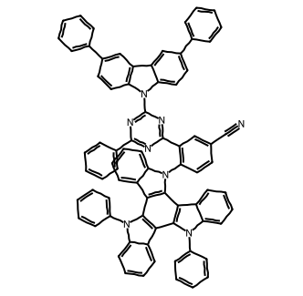 N#Cc1ccc(-n2c3ccccc3c3c4c(c5ccccc5n4-c4ccccc4)c4c(c5ccccc5n4-c4ccccc4)c32)c(-c2nc(-c3ccccc3)nc(-n3c4ccc(-c5ccccc5)cc4c4cc(-c5ccccc5)ccc43)n2)c1